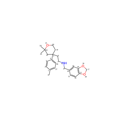 Cc1ccc(C2(CCNCc3ccc4c(c3)OCO4)CCOC(C)(C)C2)cc1